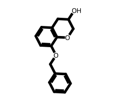 OC1COc2c(cccc2OCc2ccccc2)C1